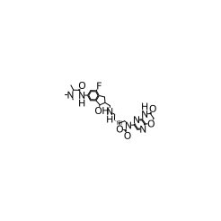 CC(C(=O)Nc1cc(F)c2c(c1)C(O)C(CNCC[C@@H]1CN(c3cnc4c(n3)NC(=O)CO4)C(=O)O1)C2)N(C)C